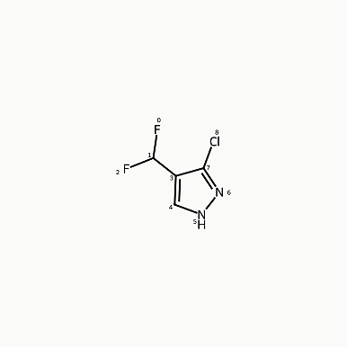 FC(F)c1c[nH]nc1Cl